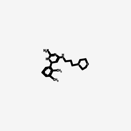 Cc1cccc(C2C=C(NCCCN3CCOCC3)N=C(N)N2)c1C